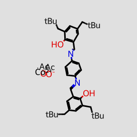 CC(=O)[O-].CC(=O)[O-].CC(C)(C)Cc1cc(C=Nc2ccc(N=Cc3cc(CC(C)(C)C)cc(CC(C)(C)C)c3O)cc2)c(O)c(CC(C)(C)C)c1.[Co+2]